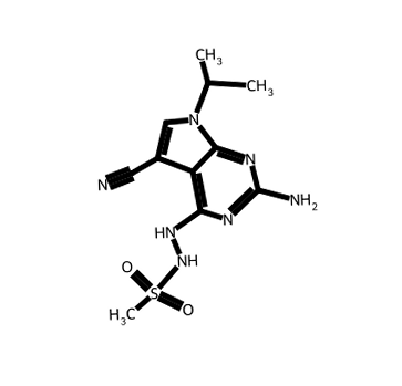 CC(C)n1cc(C#N)c2c(NNS(C)(=O)=O)nc(N)nc21